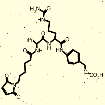 CC(C)C(NC(=O)CCCCCN1C(=O)C=CC1=O)C(=O)NC(CCCNC(N)=O)C(=O)Nc1ccc(COC(=O)O)cc1